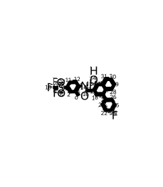 Cc1cc(S(=O)(=O)C(F)(F)F)ccc1NC(=O)c1cc(-c2ccc(F)cc2)c2ccccc2c1O